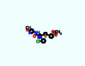 COc1ccc(NC(=O)c2cc(-c3ccc(-c4cccc(S(C)(=O)=O)c4)s3)n(-c3ccccc3Cl)n2)cn1